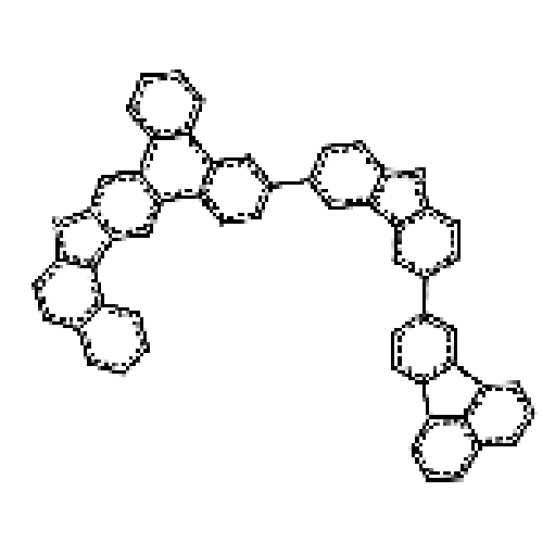 c1cc2c3c(cccc3c1)-c1cc(-c3ccc4oc5ccc(-c6ccc7c(c6)c6ccccc6c6cc8sc9ccc%10ccccc%10c9c8cc76)cc5c4c3)ccc1-2